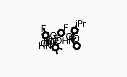 CC(C)c1ccc(S(=O)(=O)Nc2ccccc2)cc1.Cc1cc(NS(=O)(=O)c2ccc(F)cc2)c(NS(=O)(=O)c2ccc(F)cc2)cc1C